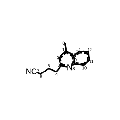 Cc1cc(CCCC#N)nc2ccccc12